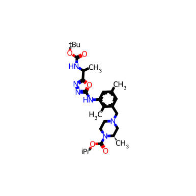 Cc1cc(CN2CCN(C(=O)OC(C)C)[C@@H](C)C2)c(C)c(Nc2nnc(C(C)NC(=O)OC(C)(C)C)o2)c1